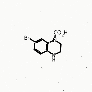 O=C(O)N1CCNc2ccc(Br)cc21